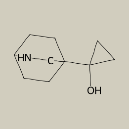 OC1(C23CCC(CC2)NC3)CC1